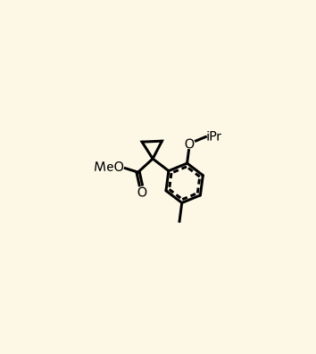 COC(=O)C1(c2cc(C)ccc2OC(C)C)CC1